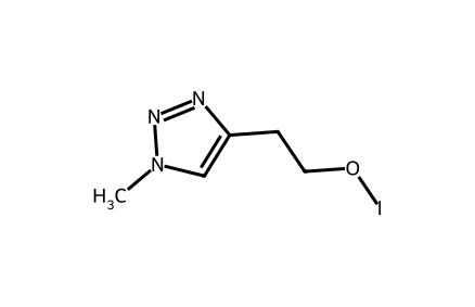 Cn1cc(CCOI)nn1